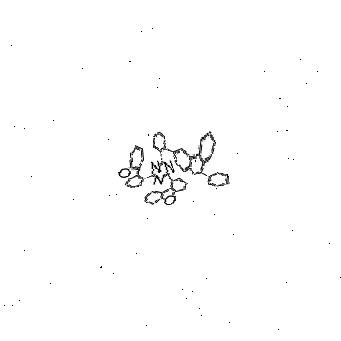 c1ccc(-c2cc3ccc(-c4ccccc4-c4nc(-c5cccc6oc7ccccc7c56)nc(-c5cccc6oc7ccccc7c56)n4)cc3c3ccccc23)cc1